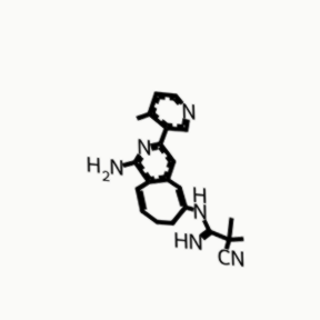 Cc1ccncc1-c1cc2c(c(N)n1)/C=C\CC/C(NC(=N)C(C)(C)C#N)=C\2